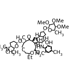 CC[C@H]1CCC[C@H](O[C@H]2CC[C@H](N(C)C)C(C)O2)[C@@H](C)C(=O)C2=C[C@H]3[C@@H]4C[C@H](O[C@@H]5OC(C)[C@H](OC)C(OC)C5OC)C[C@H]4[C@@H](O)[C@H](Nc4ccc(C)cc4C)[C@H]3[C@@H]2CC(=O)O1